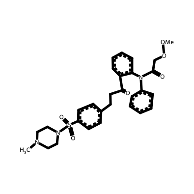 COOCC(=O)N(c1ccccc1)c1ccccc1C(=O)CCc1ccc(S(=O)(=O)N2CCN(C)CC2)cc1